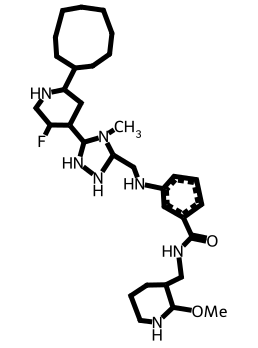 COC1NCCCC1CNC(=O)c1cccc(NCC2NNC(C3CC(C4CCCCCCCC4)NCC3F)N2C)c1